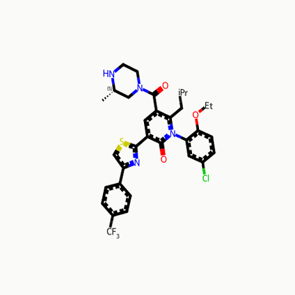 CCOc1ccc(Cl)cc1-n1c(CC(C)C)c(C(=O)N2CCN[C@@H](C)C2)cc(-c2nc(-c3ccc(C(F)(F)F)cc3)cs2)c1=O